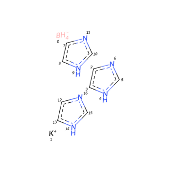 [BH4-].[K+].c1c[nH]cn1.c1c[nH]cn1.c1c[nH]cn1